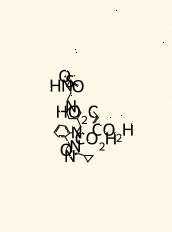 CS(=O)(=O)NCCN1CCC(CN(C(=O)O)c2ccccc2-c2nc(C3CC3)no2)CC1.O=C(O)C=CC(=O)O